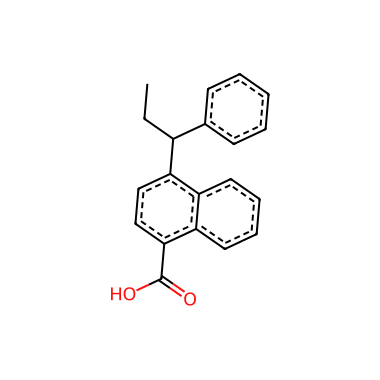 CCC(c1ccccc1)c1ccc(C(=O)O)c2ccccc12